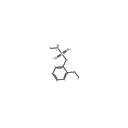 CCc1ccccc1CS(=O)(=O)NC